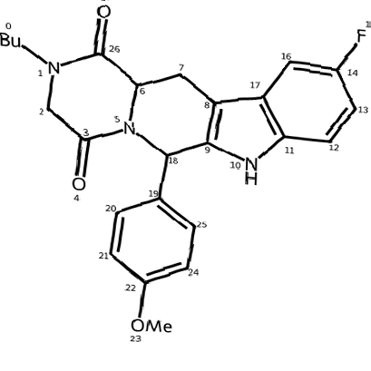 CCCCN1CC(=O)N2C(Cc3c([nH]c4ccc(F)cc34)C2c2ccc(OC)cc2)C1=O